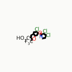 O=C(O)C1=Cc2cc(Cl)c(Oc3nccc(Cl)c3Cl)cc2OC1C(F)(F)F